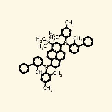 Cc1ccc(N(c2cccc(-c3ccccc3)c2C)c2ccc3ccc4c(N(c5ccc(C)cc5C)c5cccc(-c6ccccc6)c5C)cc([Si](C)(C)C)c5ccc2c3c45)c(C)c1